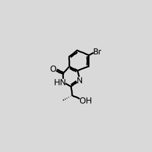 C[C@@H](O)c1nc2cc(Br)ccc2c(=O)[nH]1